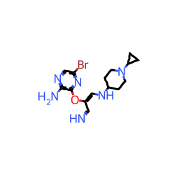 N=C/C(=C\NC1CCN(C2CC2)CC1)Oc1nc(Br)cnc1N